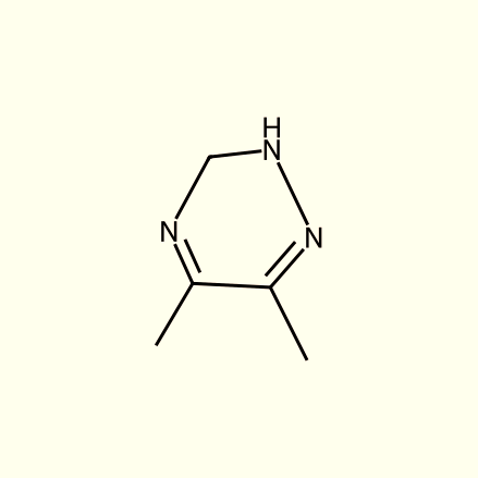 CC1=NCNN=C1C